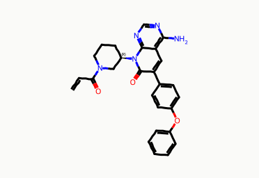 C=CC(=O)N1CCC[C@@H](n2c(=O)c(-c3ccc(Oc4ccccc4)cc3)cc3c(N)ncnc32)C1